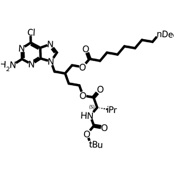 CCCCCCCCCCCCCCCCCC(=O)OCC(CCOC(=O)[C@@H](NC(=O)OC(C)(C)C)C(C)C)Cn1cnc2c(Cl)nc(N)nc21